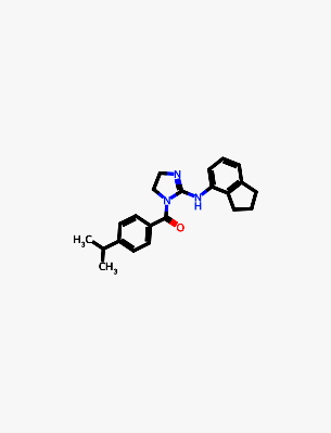 CC(C)c1ccc(C(=O)N2CCN=C2Nc2cccc3c2CCC3)cc1